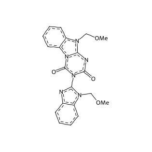 COCn1c(-n2c(=O)nc3n(COC)c4ccccc4n3c2=O)nc2ccccc21